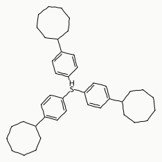 c1cc([SH](c2ccc(C3CCCCCCC3)cc2)c2ccc(C3CCCCCCC3)cc2)ccc1C1CCCCCCC1